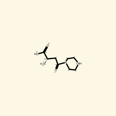 N[C@@H](CC(=O)N1CCNCC1)C(=O)O